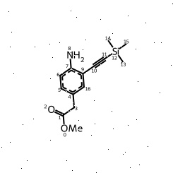 COC(=O)Cc1ccc(N)c(C#C[Si](C)(C)C)c1